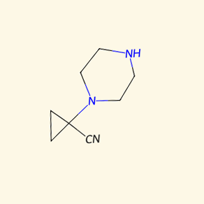 N#CC1(N2CCNCC2)CC1